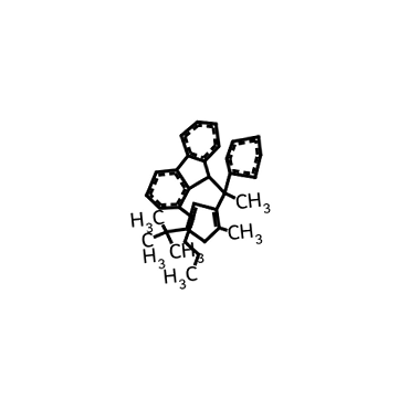 CCCCc1cccc2c1C(C(C)(C1=C(C)CC(C(C)(C)C)=C1)c1ccccc1)c1ccccc1-2